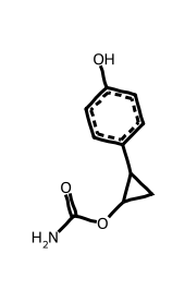 NC(=O)OC1CC1c1ccc(O)cc1